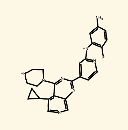 Cc1ccc(F)c(Nc2cc(-c3nc(N4CCNCC4)c4c(C5CC5)cncc4n3)ccn2)c1